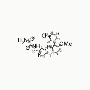 COc1ccc(Cc2ccc(CNC(=O)C(N)=O)nc2)c(F)c1-c1cccc(Cl)c1